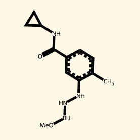 COBNNc1cc(C(=O)NC2CC2)ccc1C